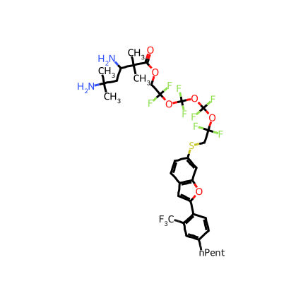 CCCCCc1ccc(-c2cc3ccc(SCC(F)(F)OC(F)(F)OC(F)(F)OC(F)(F)COC(=O)C(C)(C)C(N)CC(C)(C)N)cc3o2)c(C(F)(F)F)c1